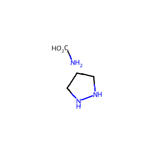 C1CNNC1.NC(=O)O